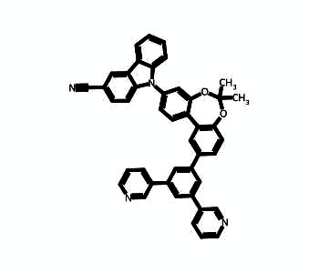 CC1(C)Oc2cc(-n3c4ccccc4c4cc(C#N)ccc43)ccc2-c2cc(-c3cc(-c4cccnc4)cc(-c4cccnc4)c3)ccc2O1